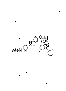 CCC(Oc1ccc2nc(-c3ccc(NC)nc3)ccc2c1)OS(=O)(=O)c1ccc(C)cc1OC1CCCCO1